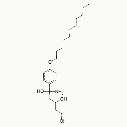 CCCCCCCCCCCOc1ccc(C(N)(O)CC(O)CCO)cc1